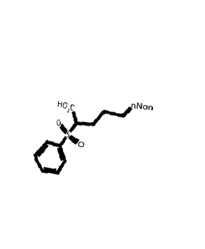 CCCCCCCCCCCCC(C(=O)O)S(=O)(=O)c1ccccc1